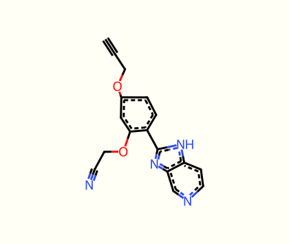 C#CCOc1ccc(-c2nc3cnccc3[nH]2)c(OCC#N)c1